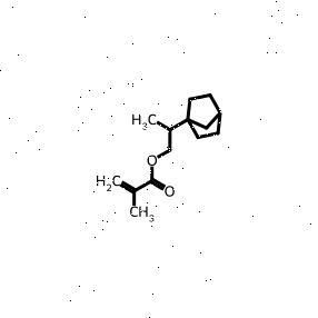 C=C(C)C(=O)OCC(C)C12CCC(CC1)C2